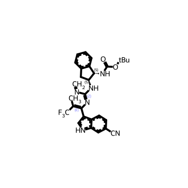 C=N/C(=N\C(=C(/C)C(F)(F)F)c1c[nH]c2cc(C#N)ccc12)N[C@H]1Cc2ccccc2[C@@H]1NC(=O)OC(C)(C)C